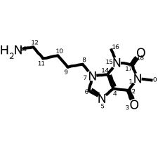 Cn1c(=O)c2ncn(CCCCCN)c2n(C)c1=O